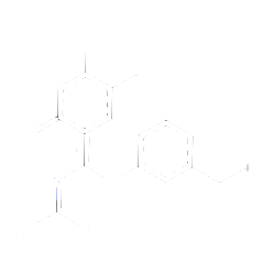 C=c1cc(CC)c(CC)c/c1=C(/N=C(C)C)Oc1cccc(CC(C)CC)c1